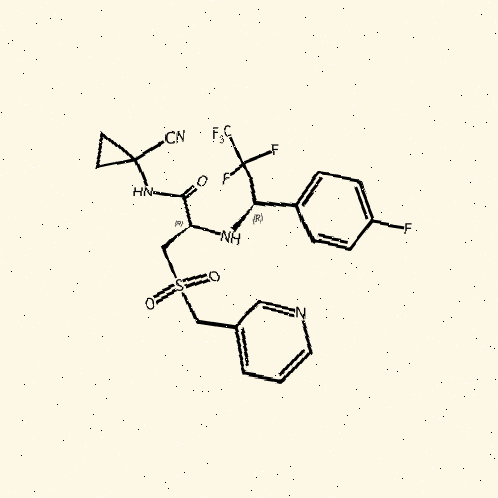 N#CC1(NC(=O)[C@H](CS(=O)(=O)Cc2cccnc2)N[C@H](c2ccc(F)cc2)C(F)(F)C(F)(F)F)CC1